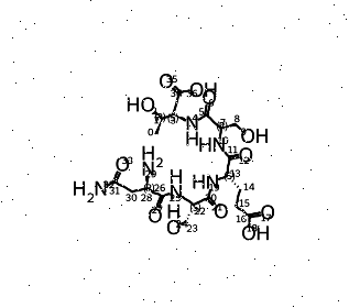 C[C@@H](O)[C@H](NC(=O)[C@@H](CO)NC(=O)[C@H](CCC(=O)O)NC(=O)[C@H](CO)NC(=O)[C@H](N)CC(N)=O)C(=O)O